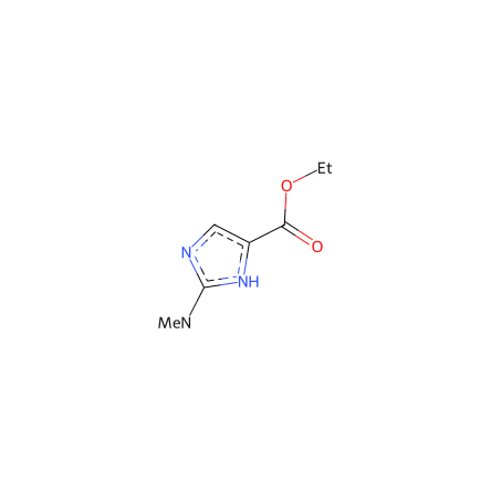 CCOC(=O)c1cnc(NC)[nH]1